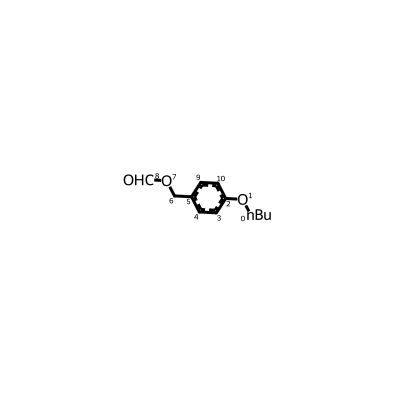 CCCCOc1ccc(COC=O)cc1